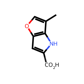 Cc1coc2cc(C(=O)O)[nH]c12